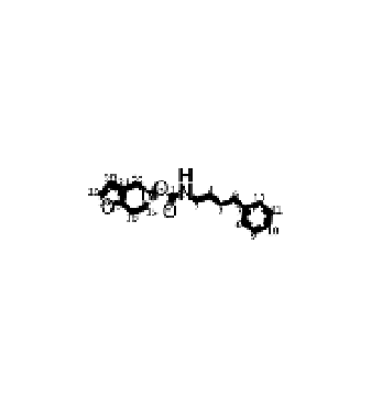 O=C(NCCCCc1ccccc1)ON1CCc2occc2C1